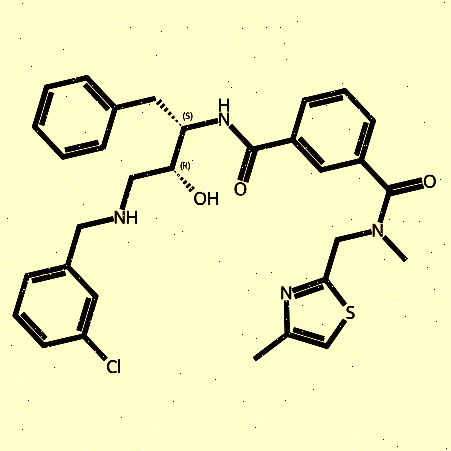 Cc1csc(CN(C)C(=O)c2cccc(C(=O)N[C@@H](Cc3ccccc3)[C@H](O)CNCc3cccc(Cl)c3)c2)n1